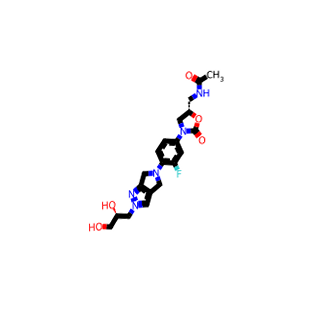 CC(=O)NC[C@H]1CN(c2ccc(N3Cc4cn(C[C@@H](O)CO)nc4C3)c(F)c2)C(=O)O1